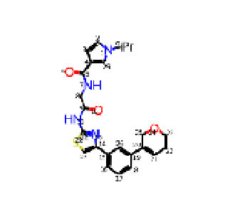 CC(C)n1ccc(C(=O)NCC(=O)Nc2nc(-c3cccc(C4=CCCOC4)c3)cs2)c1